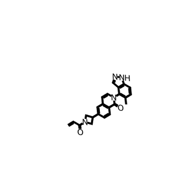 C=CC(=O)N1CC(c2ccc3c(=O)n(-c4c(C)ccc5[nH]ncc45)ccc3c2)C1